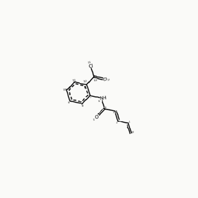 C=CC=CC(=O)Nc1ccccc1C(=O)Cl